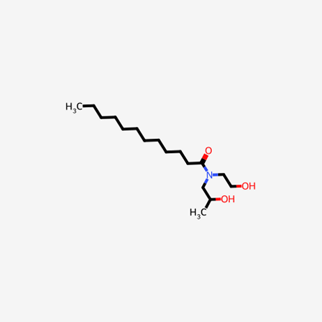 CCCCCCCCCCCC(=O)N(CCO)CC(C)O